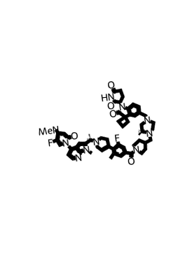 CNc1cc(=O)n(-c2ccnc3c2cc([C@H](C)N2CC=C(c4c(C)cc(C(=O)N5CCC(CN6CCN(Cc7ccc8c(c7)C7(CCC7)C(=O)N8C7CCC(=O)NC7=O)C[C@@H]6C)CC5)cc4F)CC2)n3C)cc1F